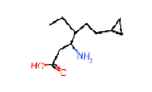 CCC(CCC1CC1)C(N)CC(=O)O